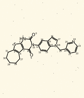 O=c1[nH]c2sc3c(c2c(=O)n1-c1ccc2c(ccn2Cc2cccnc2)c1)CCCCC3